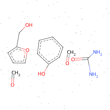 C=O.C=O.NC(N)=O.OCc1ccco1.Oc1ccccc1